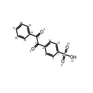 O=C(C(=O)c1ccc(S(=O)(=O)O)cc1)c1ccccc1